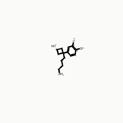 Cl.NCCCCC1(c2ccc(Cl)c(Cl)c2)CCC1